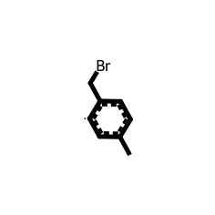 Cc1c[c]c(CBr)cc1